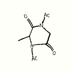 CC(=O)N1CC(=O)N(C(C)=O)C(C)C1=O